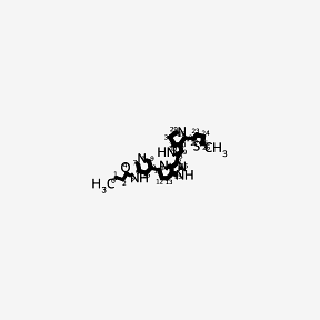 CCCC(=O)Nc1cncc(-c2ccc3[nH]nc(-c4cc5c(-c6ccc(C)s6)nccc5[nH]4)c3n2)c1